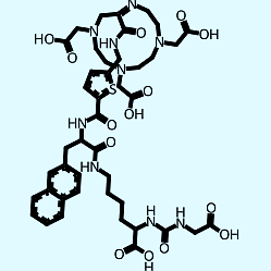 O=C(O)CNC(=O)NC(CCCCNC(=O)C(Cc1ccc2ccccc2c1)NC(=O)c1ccc(CNC(=O)/C2=N\CCN(CC(=O)O)CCN(CC(=O)O)CCN(CC(=O)O)C2)s1)C(=O)O